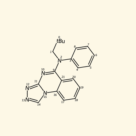 CC(C)(C)CN(c1ccccc1)c1nc2nncn2c2ccccc12